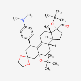 CN(C)c1ccc([C@@H]2CC3(C[C@]4(O[Si](C)(C)C)CC[C@@H]5C(=C24)CC[C@@]2(C)[C@H]5CC[C@@]2(C=O)O[Si](C)(C)C)OCCO3)cc1